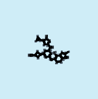 Cc1cc2c(F)c(Oc3nc(Nc4cc(C5CC5)[nH]n4)cc(N4CC(O)C4)n3)ccc2[nH]1